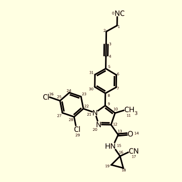 [C-]#[N+]CCC#Cc1ccc(-c2c(C)c(C(=O)NC3(C#N)CC3)nn2-c2ccc(Cl)cc2Cl)cc1